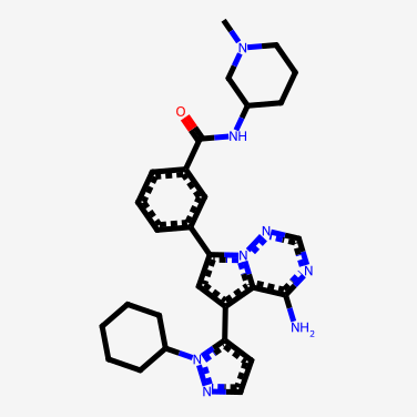 CN1CCCC(NC(=O)c2cccc(-c3cc(-c4ccnn4C4CCCCC4)c4c(N)ncnn34)c2)C1